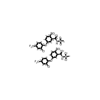 CS(=O)(=O)NC(=O)c1cc(Oc2ccc(C(F)(F)F)cc2Cl)ccc1[N+](=O)[O-].CS(=O)(=O)NC(=O)c1cc(Oc2ccc(C(F)(F)F)cc2Cl)ccc1[N+](=O)[O-]